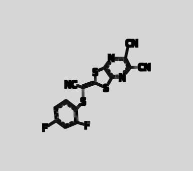 N#CC(Sc1ccc(F)cc1F)=C1Sc2nc(C#N)c(C#N)nc2S1